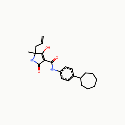 C=CCC1(C)NC(=O)C(C(=O)Nc2ccc(C3CCCCCC3)cc2)=C1O